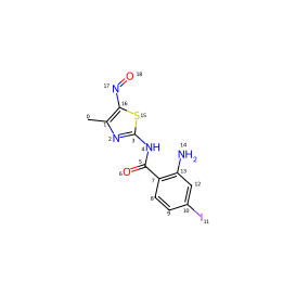 Cc1nc(NC(=O)c2ccc(I)cc2N)sc1N=O